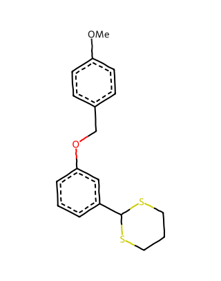 COc1ccc(COc2cccc(C3SCCCS3)c2)cc1